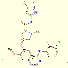 COc1cc2ncnc(Nc3cccc(Cl)c3F)c2cc1O[C@H]1C[C@H](C(=O)Nc2cc(C)n[nH]2)N(C)C1